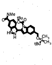 CNC(=O)c1ccc2c(c1)NNC2c1cc2cc(CO[Si](C)(C)C(C)(C)C)ccc2n1C(=O)OC(C)(C)C